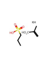 C=C(C)C(=O)O.CCCS(=O)(=O)O.[KH]